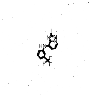 FC(F)(F)c1cccc(Nc2cccn3nc(I)nc23)c1